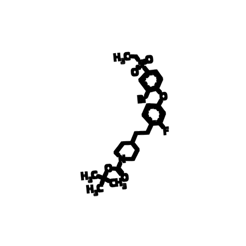 CCS(=O)(=O)c1ccc(Oc2ccc(CCC3CCN(C(=O)OC(C)(C)C)CC3)c(F)c2)c(Br)c1